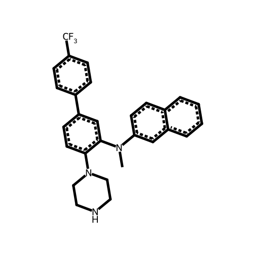 CN(c1ccc2ccccc2c1)c1cc(-c2ccc(C(F)(F)F)cc2)ccc1N1CCNCC1